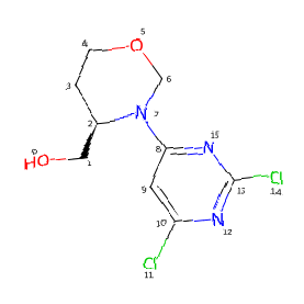 OC[C@H]1CCOCN1c1cc(Cl)nc(Cl)n1